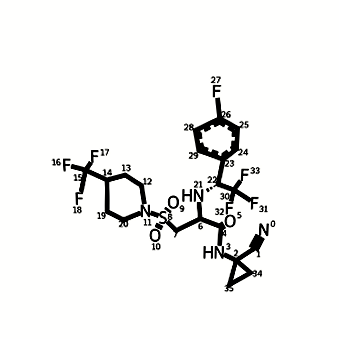 N#CC1(NC(=O)C(CS(=O)(=O)N2CCC(C(F)(F)F)CC2)N[C@H](c2ccc(F)cc2)C(F)(F)F)CC1